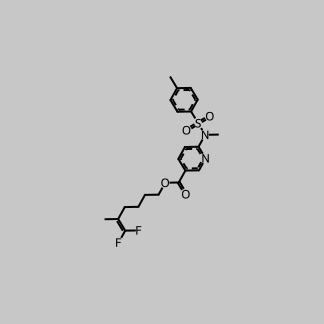 CC(CCCCOC(=O)c1ccc(N(C)S(=O)(=O)c2ccc(C)cc2)nc1)=C(F)F